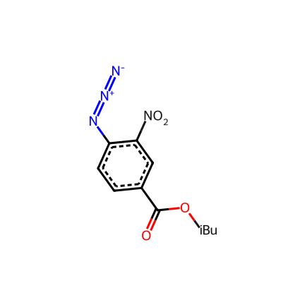 CCC(C)OC(=O)c1ccc(N=[N+]=[N-])c([N+](=O)[O-])c1